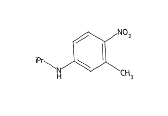 Cc1cc(NC(C)C)ccc1[N+](=O)[O-]